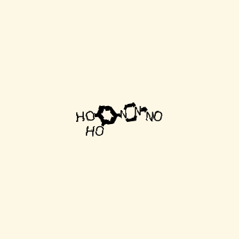 O=NCN1CCN(c2ccc(O)c(O)c2)CC1